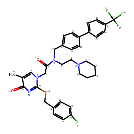 Cc1cn(CC(=O)N(CCN2CCCCC2)Cc2ccc(-c3ccc(C(F)(F)F)cc3)cc2)c(SCc2ccc(F)cc2)nc1=O